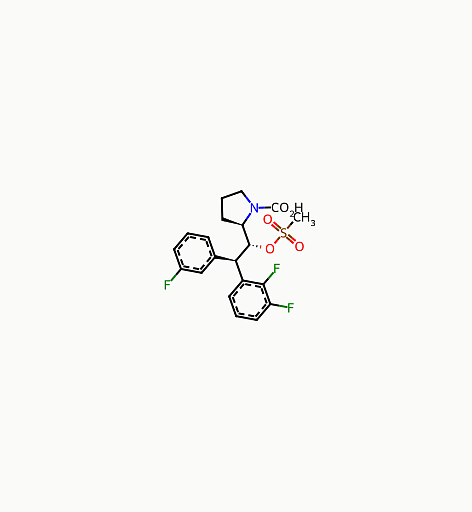 CS(=O)(=O)O[C@H]([C@H](c1cccc(F)c1)c1cccc(F)c1F)[C@H]1CCCN1C(=O)O